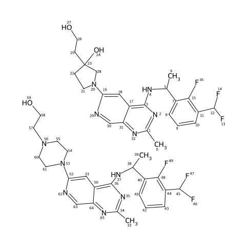 Cc1nc(NC(C)c2cccc(C(F)F)c2F)c2cc(N3CCC(O)(CCO)C3)ncc2n1.Cc1nc(NC(C)c2cccc(C(F)F)c2F)c2cc(N3CCN(CCO)CC3)ncc2n1